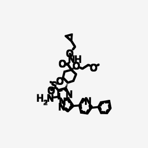 COCCO[C@]1(C(=O)NOCC2CC2)CC[C@@H](c2nc3c(-c4ccc(-c5ccccc5)nc4)cnn3c(N)c2S(C)(=O)=O)CC1